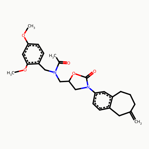 C=C1CCCc2cc(N3CC(CN(Cc4ccc(OC)cc4OC)C(C)=O)OC3=O)ccc2C1